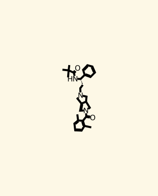 Cc1cccc(C)c1C(=O)N1C=C2CN(CC[C@H](NC(=O)C(C)(C)C)c3ccccc3)CC2C1